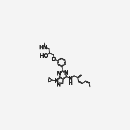 C=C(/C=C\C=C/C)CNc1nc(-c2cccc(OCC(O)CNC)c2)nc2c1cnn2C1CC1